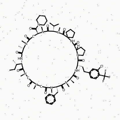 CC[C@H](C)[C@@H]1NC(=O)[C@H](C)N(C)C(=O)C[C@@H](C(=O)N2CCCCC2)N(C)C(=O)[C@H](C(C)C)N(C)C(=O)C2(CCCC2)NC(=O)[C@@H]2CCCN2C(=O)[C@H](CCc2ccc(C(F)(F)F)c(Cl)c2)NC(=O)[C@@H](C)N(C)C(=O)[C@H](Cc2ccccc2)N(C)C(=O)CN(C)C(=O)CN(C)C1=O